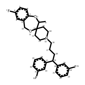 CC1Oc2ccc(F)cc2COC12CCN(CCCC(c1cccc(F)c1)c1cccc(F)c1)CC2